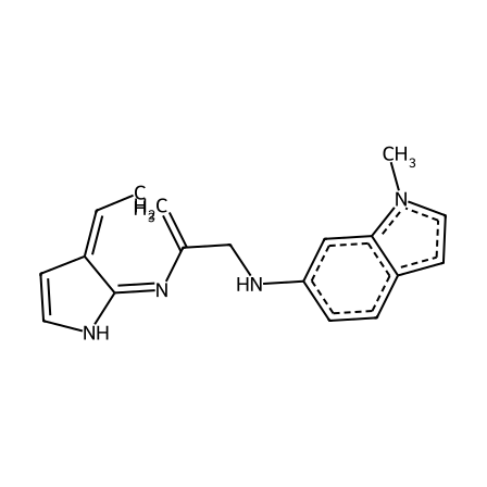 C=C(CNc1ccc2ccn(C)c2c1)/N=C1/NC=C/C1=C/C